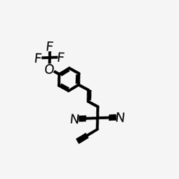 C#CCC(C#N)(C#N)CC=Cc1ccc(OC(F)(F)F)cc1